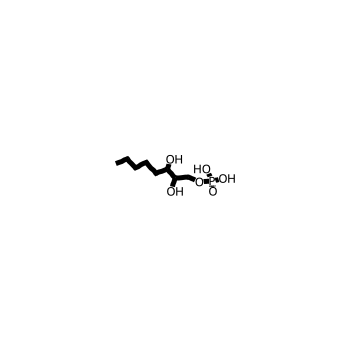 CCCCCC(O)C(O)COP(=O)(O)O